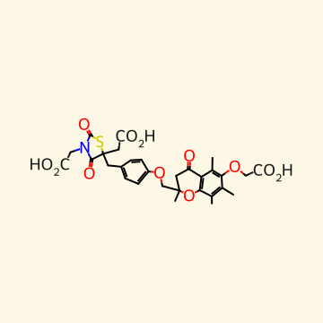 Cc1c(C)c2c(c(C)c1OCC(=O)O)C(=O)CC(C)(COc1ccc(CC3(CC(=O)O)SC(=O)N(CC(=O)O)C3=O)cc1)O2